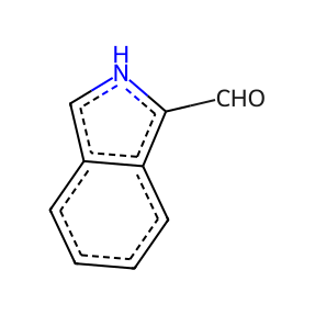 O=Cc1[nH]cc2ccccc12